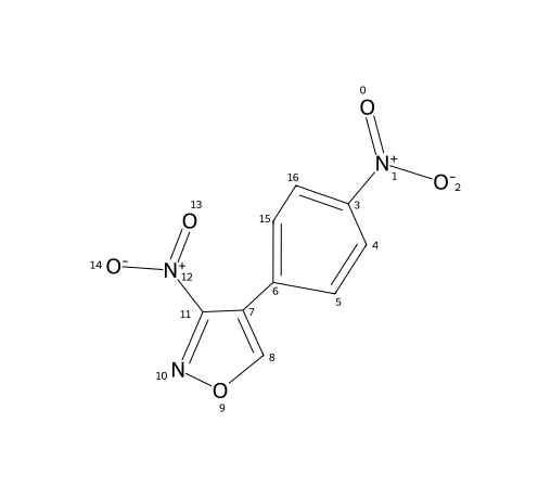 O=[N+]([O-])c1ccc(-c2conc2[N+](=O)[O-])cc1